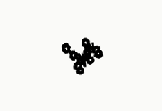 c1ccc(-c2ccc(-c3nc(-n4c5ccccc5c5c6c7c8ccccc8ccc7n7c8ccccc8c(cc54)c67)nc4c3ccc3ccccc34)cc2)cc1